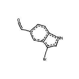 O=Cc1ccc2[nH]cc(Br)c2c1